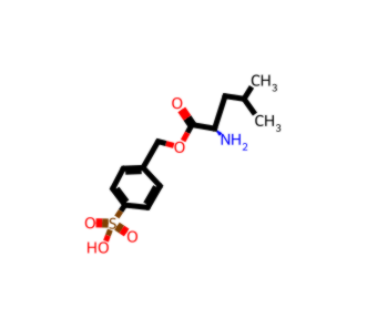 CC(C)C[C@H](N)C(=O)OCc1ccc(S(=O)(=O)O)cc1